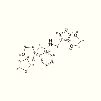 c1ccc([C@]2(CCNCc3scc4c3OCCO4)CCOC3(CCCC3)C2)nc1